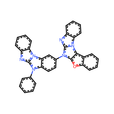 c1ccc(-n2c3ccc(-n4c5oc6ccccc6c5n5c6ccccc6nc45)cc3n3c4ccccc4nc23)cc1